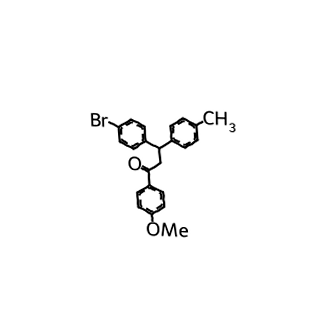 COc1ccc(C(=O)CC(c2ccc(C)cc2)c2ccc(Br)cc2)cc1